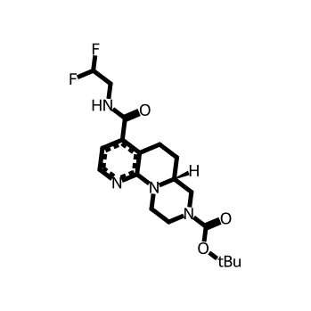 CC(C)(C)OC(=O)N1CCN2c3nccc(C(=O)NCC(F)F)c3CC[C@@H]2C1